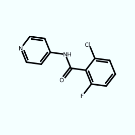 O=C(Nc1ccncc1)c1c(F)cccc1Cl